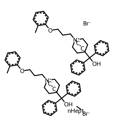 CCCCCCCC.Cc1ccccc1OCCC[N+]12CCC(C(O)(c3ccccc3)c3ccccc3)(CC1)CC2.Cc1ccccc1OCCC[N+]12CCC(C(O)(c3ccccc3)c3ccccc3)(CC1)CC2.[Br-].[Br-]